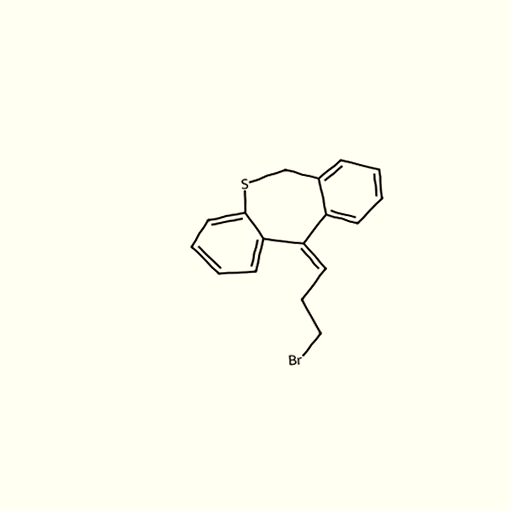 BrCCC=C1c2ccccc2CSc2ccccc21